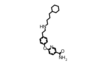 NC(=O)c1ccc(Oc2ccc(CCNCCCCC3CCCCC3)cc2)nc1